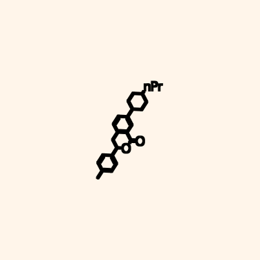 CCCC1CCC(c2ccc3c(c2)C(=O)OC(c2ccc(C)cc2)C3)CC1